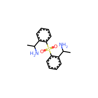 CC(N)c1ccccc1S(=O)(=O)c1ccccc1C(C)N